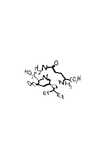 CCC(CC)OC1=CC(=C=O)C(C(=O)O)N=C1.NC(=O)CCC(N)C(=O)O